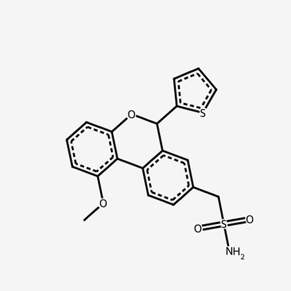 COc1cccc2c1-c1ccc(CS(N)(=O)=O)cc1C(c1cccs1)O2